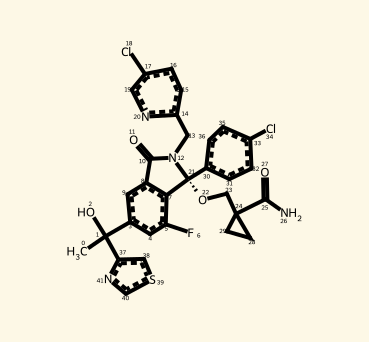 CC(O)(c1cc(F)c2c(c1)C(=O)N(Cc1ccc(Cl)cn1)[C@@]2(OCC1(C(N)=O)CC1)c1ccc(Cl)cc1)c1cscn1